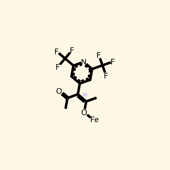 CC(=O)/C(=C(/C)[O][Fe])c1cc(C(F)(F)F)nc(C(F)(F)F)c1